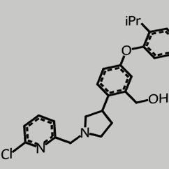 CC(C)c1ccccc1Oc1ccc(C2CCN(Cc3cccc(Cl)n3)C2)c(CO)c1